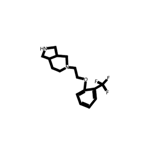 FC(F)(F)c1ccccc1OCCN1CCC2CNCC2C1